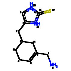 NCC1=CCCC(Cc2c[nH]c(=S)[nH]2)C1